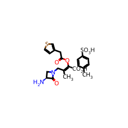 CC(CN1C[C@H](N)C1=O)=C(OC(=O)Cc1ccsc1)C(=O)O.Cc1ccc(S(=O)(=O)O)cc1